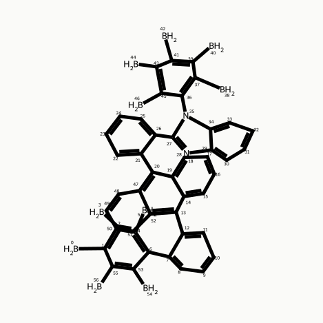 Bc1c(B)c(B)c(-c2ccccc2-c2c3ccccc3c(-c3ccccc3-c3nc4ccccc4n3-c3c(B)c(B)c(B)c(B)c3B)c3ccccc23)c(B)c1B